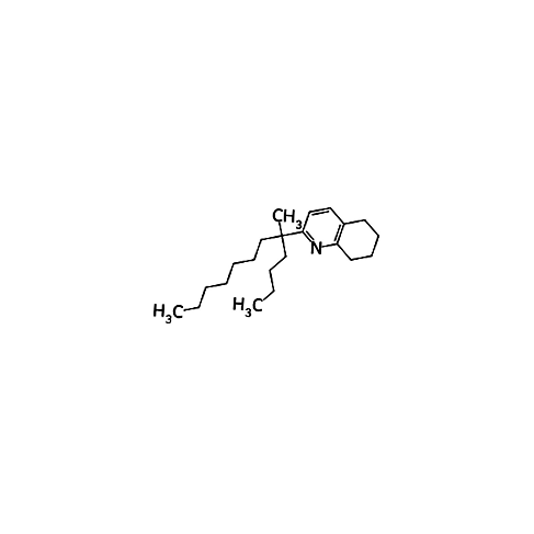 CCCCCCCC(C)(CCCC)c1ccc2c(n1)CCCC2